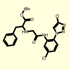 CC(C)(C)OC(=O)C(Cc1ccccc1)NCC(=O)Nc1cc(Cl)ccc1-n1cc(Cl)nn1